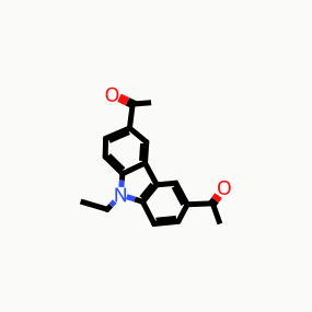 CCn1c2ccc(C(C)=O)cc2c2cc(C(C)=O)ccc21